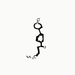 CCCC(=O)c1ccc(C2CCN(Cl)CC2)cc1